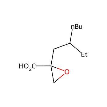 CCCCC(CC)CC1(C(=O)O)CO1